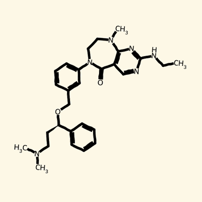 CCNc1ncc2c(n1)N(C)CCN(c1cccc(CO[C@H](CCN(C)C)c3ccccc3)c1)C2=O